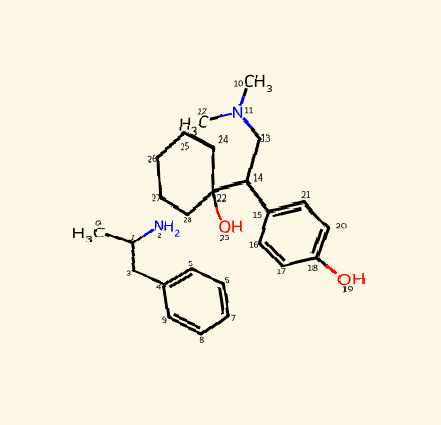 CC(N)Cc1ccccc1.CN(C)CC(c1ccc(O)cc1)C1(O)CCCCC1